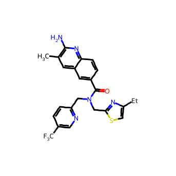 CCc1csc(CN(Cc2ccc(C(F)(F)F)cn2)C(=O)c2ccc3nc(N)c(C)cc3c2)n1